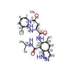 C=C(/C=C(\Nc1ncccc1Cl)C(=O)Nc1c(C)cc2cn[nH]c2c1C(=O)NC(C)C)OC